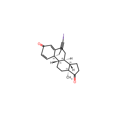 C[C@]12CC[C@H]3[C@@H](CCC4=CC(=O)C=C[C@@]43CC#CI)[C@@H]1CCC2=O